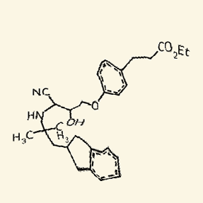 CCOC(=O)CCc1ccc(OCC(O)C(C#N)NC(C)(C)CC2Cc3ccccc3C2)cc1